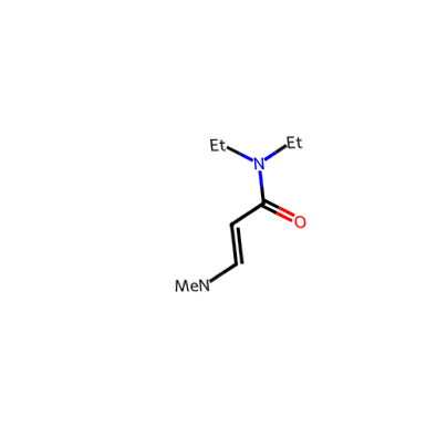 CCN(CC)C(=O)C=CNC